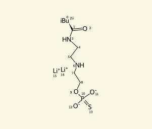 CC[C@H](C)C(=O)NCCNCCOP([O-])([O-])=S.[Li+].[Li+]